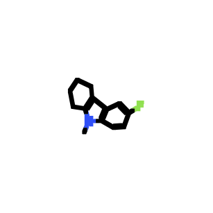 Cn1c2c(c3cc(F)ccc31)CCCC2